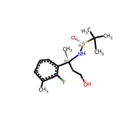 Cc1cccc([C@](C)(CCO)N[S@+]([O-])C(C)(C)C)c1F